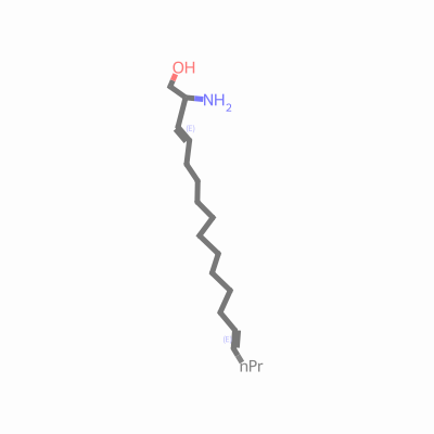 CCC/C=C/CCCCCCCCC/C=C/C(N)CO